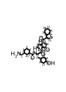 NCc1cccc(C(=O)N[C@@H](Cc2ccc(O)cc2)C(=O)N2CC[C@@H]3[C@H]2C(=O)CN3C(=O)c2csc3ccccc23)c1